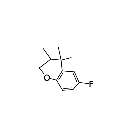 CC1COc2ccc(F)cc2C1(C)C